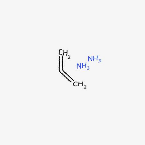 C=C=C.N.N